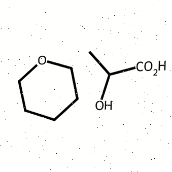 C1CCOCC1.CC(O)C(=O)O